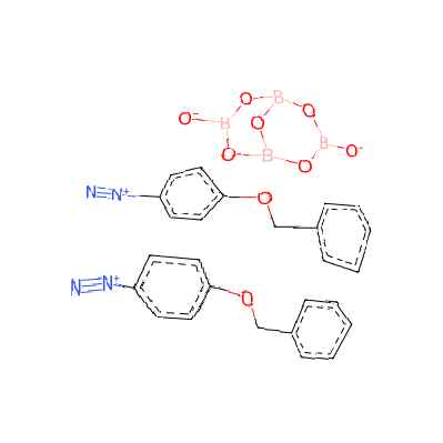 N#[N+]c1ccc(OCc2ccccc2)cc1.N#[N+]c1ccc(OCc2ccccc2)cc1.[O-]B1OB2OB([O-])OB(O1)O2